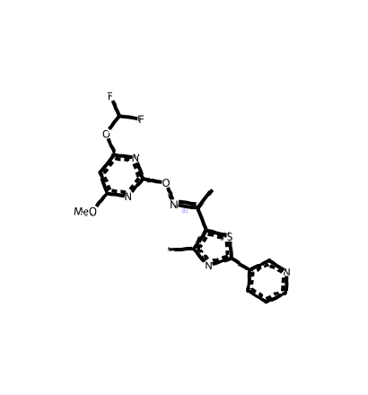 COc1cc(OC(F)F)nc(O/N=C(\C)c2sc(-c3cccnc3)nc2C)n1